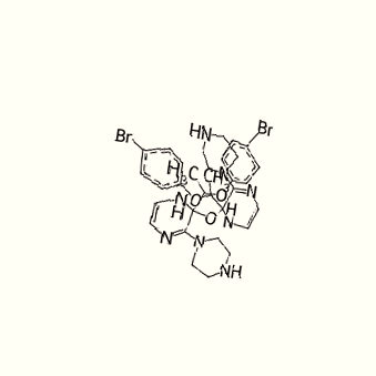 CC(Oc1ccc(Br)cc1)C1(OC2(C(C)Oc3ccc(Br)cc3)NC=CN=C2N2CCNCC2)NC=CN=C1N1CCNCC1